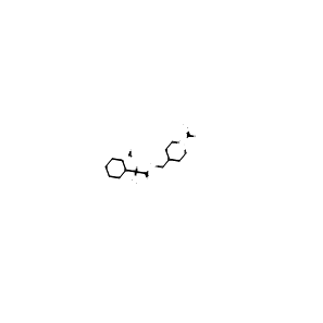 CC(=N)N1CCC(CNC(=O)C(N)(OC(=O)C(F)(F)F)C2CCCCC2)CC1